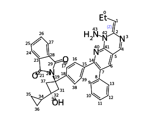 CC/C=C1/N=Cc2cc(-c3ccccc3)c(-c3ccc([C@]4(N5C(=O)c6ccccc6C5=O)C[C@@](O)(C5CC5)C4)cc3)nc2N1N